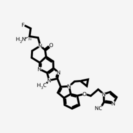 Cn1c(-c2cc3cccc(OCCn4ccnc4C#N)c3n2CC2CC2)nc2cc3c(nc21)CCN(C[C@H](N)CF)C3=O